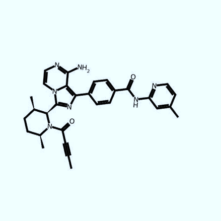 CC#CC(=O)N1[C@H](c2nc(-c3ccc(C(=O)Nc4cc(C)ccn4)cc3)c3c(N)nccn23)[C@H](C)CC[C@@H]1C